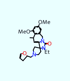 CCN1C(=O)N2Cc3cc(OC)cc(OC)c3C(C)C=C2C12CCN(CC1CC=CO1)CC2